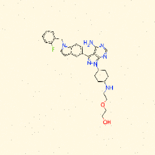 Nc1ncnc2c1c(-c1ccc3c(ccn3Cc3ccccc3F)c1)nn2C1CCC(NCCOCCO)CC1